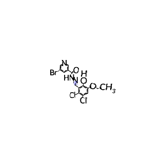 CCOc1cc(Cl)c(Cl)c(/C=N/NC(=O)c2cncc(Br)c2)c1O